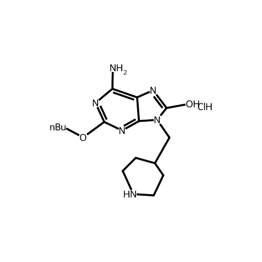 CCCCOc1nc(N)c2nc(O)n(CC3CCNCC3)c2n1.Cl